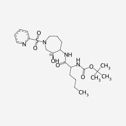 CCCCC(NC(=O)OC(C)(C)C)C(=O)NC1CCCN(S(=O)(=O)c2ccccn2)C[C@@H]1O